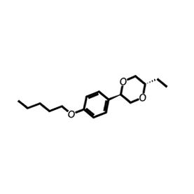 CCCCCOc1ccc([C@@H]2CO[C@@H](CC)CO2)cc1